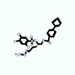 CON=CCC[C@@H](COC(=O)c1ccc(-c2ccccc2)cc1)OS(=O)(=O)c1cc(Cl)c(Cl)cc1Cl